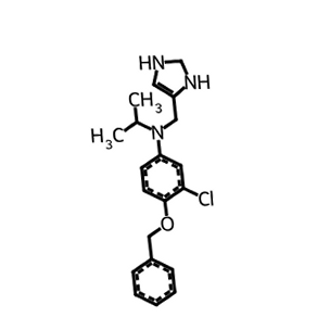 CC(C)N(CC1=CNCN1)c1ccc(OCc2ccccc2)c(Cl)c1